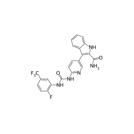 NC(=O)c1[nH]c2ccccc2c1-c1ccc(NC(=O)Nc2cc(C(F)(F)F)ccc2F)nc1